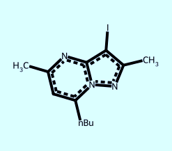 CCCCc1cc(C)nc2c(I)c(C)nn12